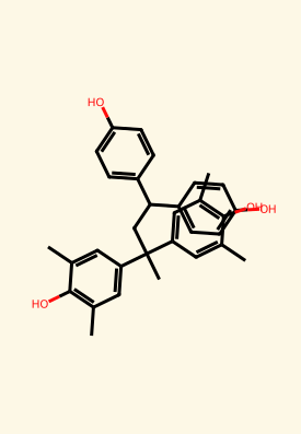 Cc1cc(C(C)(CC(c2ccc(O)cc2)c2ccc(O)cc2)c2cc(C)c(O)c(C)c2)cc(C)c1O